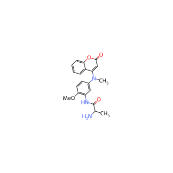 COc1ccc(N(C)c2cc(=O)oc3ccccc23)cc1NC(=O)C(C)N